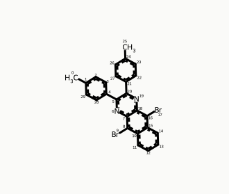 Cc1ccc(-c2nc3c(Br)c4ccccc4c(Br)c3nc2-c2ccc(C)cc2)cc1